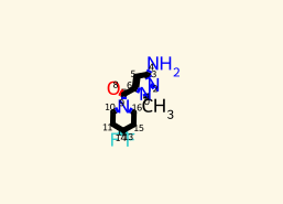 Cn1nc(N)cc1C(=O)N1CCC(F)(F)CC1